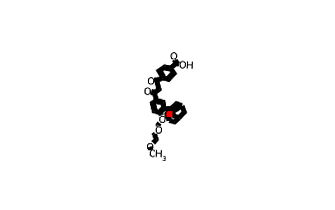 COCCOCOc1ccc(C(=O)CC(=O)c2ccc(C(=O)O)cc2)cc1C12CC3CC(CC(C3)C1)C2